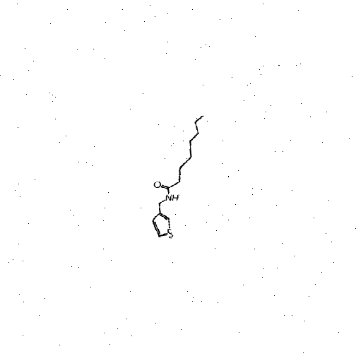 CCCCCCCC(=O)NCc1ccsc1